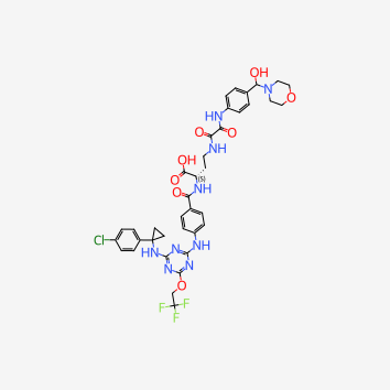 O=C(NCC[C@H](NC(=O)c1ccc(Nc2nc(NC3(c4ccc(Cl)cc4)CC3)nc(OCC(F)(F)F)n2)cc1)C(=O)O)C(=O)Nc1ccc(C(O)N2CCOCC2)cc1